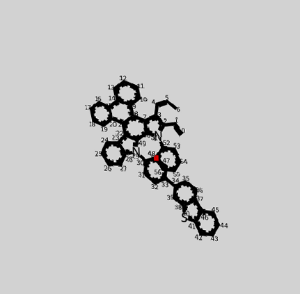 C=Cc1c(/C=C\C)c2c3c4ccccc4c4ccccc4c3c3c4ccccc4n(-c4ccc(-c5ccc6c(c5)sc5ccccc56)cc4)c3c2n1-c1ccccc1